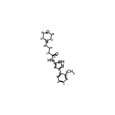 Cc1ccccc1-c1cc(NC(=O)CCCN2CCOCC2)[nH]n1